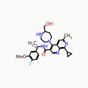 COc1cc([C@H](C)NC(=O)c2cnc3c(C4CC4)nc(C)cc3c2N2CCNC(CO)CC2)ccc1F